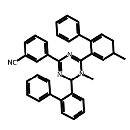 CC1C=C(C2=NC(c3cccc(C#N)c3)=NC(c3ccccc3-c3ccccc3)N2C)C(c2ccccc2)=CC1